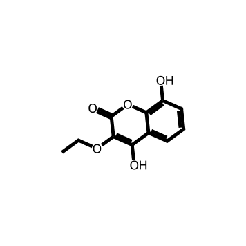 CCOc1c(O)c2cccc(O)c2oc1=O